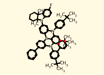 CC(C)(C)c1ccc(N2c3cc(N4c5ccc(F)cc5C5(C)CCCCC45C)ccc3B3c4ccc(-c5ccccc5)cc4N(c4ccc(C(C)(C)C)cc4-c4ccccc4)c4cc(C(C)(C)C)cc2c43)cc1